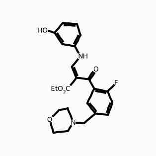 CCOC(=O)C(=CNc1cccc(O)c1)C(=O)c1cc(CN2CCOCC2)ccc1F